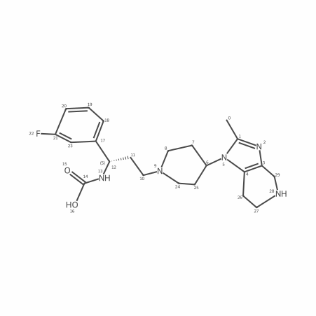 Cc1nc2c(n1C1CCN(CC[C@H](NC(=O)O)c3cccc(F)c3)CC1)CCNC2